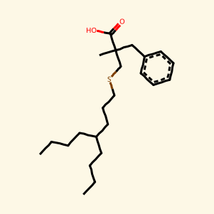 CCCCC(CCCC)CCCSCC(C)(Cc1ccccc1)C(=O)O